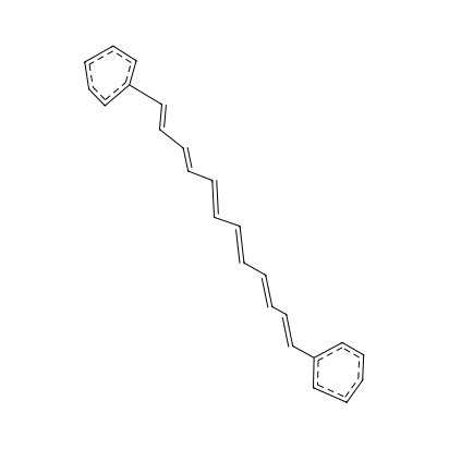 C(C=CC=CC=Cc1ccccc1)=CC=CC=Cc1ccccc1